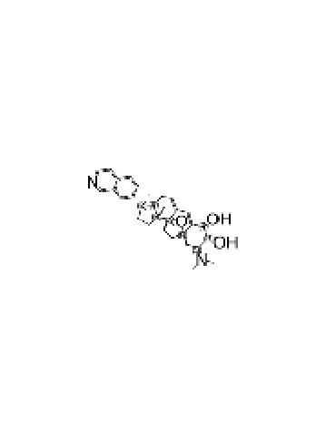 CN(C)[C@H]1C[C@@]23CC[C@]4(O2)C(=CC[C@]2(C)[C@@H](c5ccc6ccncc6c5)CC[C@@]42C)C=C3[C@@H](O)[C@@H]1O